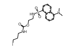 CN(C)c1cccc2c(S(=O)(=O)NCCOC(=O)NCCCI)cccc12